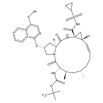 CC(C)Oc1cnc(O[C@@H]2C[C@H]3C(=O)N[C@]4(C(=O)NS(=O)(=O)C5CC5)C[C@@H]4/C=C\CC[C@H](C)C[C@@H](C)[C@H](NC(=O)OC(C)(C)C(F)(F)F)C(=O)N3C2)c2ccccc12